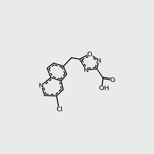 O=C(O)c1noc(Cc2ccc3ncc(Cl)cc3c2)n1